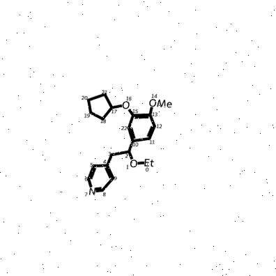 CCOC(Cc1ccncc1)c1ccc(OC)c(OC2CCCC2)c1